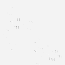 N=C1/C(=N\S)C=Cc2c(-c3ccc(-c4cccc(-c5nc(-c6ccccc6)nc(-c6cccc(-c7ccccc7)c6)n5)c4)cc3)nc3ccccc3c21